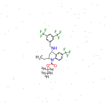 [2H]C([2H])([2H])C([2H])([2H])OC(=O)N1c2ccc(C(F)(F)F)cc2C(NCc2cc(C(F)(F)F)cc(C(F)(F)F)c2)CC1CC